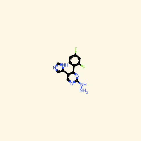 NNc1ncc(-c2cnc[nH]2)c(-c2ccc(F)cc2F)n1